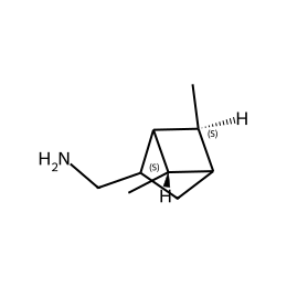 C[C@H]1C2CC(CN)C1[C@H]2C